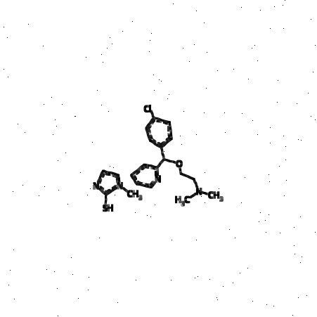 CN(C)CCOC(c1ccc(Cl)cc1)c1ccccn1.Cn1ccnc1S